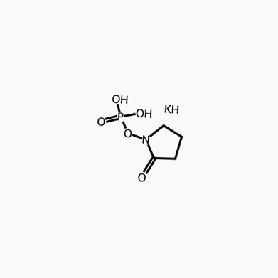 O=C1CCCN1OP(=O)(O)O.[KH]